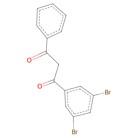 O=C(CC(=O)c1cc(Br)cc(Br)c1)c1ccccc1